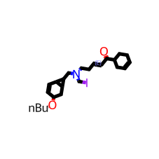 CCCCOC1C=CC2C(C1)C2CN(CI)CC/C=C/C(=O)C1CC=CCC1